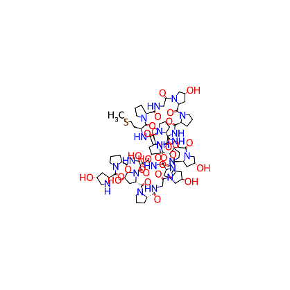 CSCC[C@H](NC(=O)CNC(=O)[C@@H]1CCCN1C(=O)[C@@H]1C[C@@H](O)CN1C(=O)CNC(=O)[C@@H]1CCCN1C(=O)[C@@H]1C[C@@H](O)CN1C(=O)CNC(=O)[C@@H]1CCCN1C(=O)[C@@H]1C[C@@H](O)CN1)C(=O)N1CCC[C@H]1C(=O)NCC(=O)N1C[C@H](O)C[C@H]1C(=O)N1CCC[C@H]1C(=O)NCC(=O)N1C[C@H](O)C[C@H]1C(=O)N1CCC[C@H]1C(=O)NCC(=O)N1C[C@H](O)C[C@H]1C(=O)N1CCC[C@H]1C(=O)NCC(=O)O